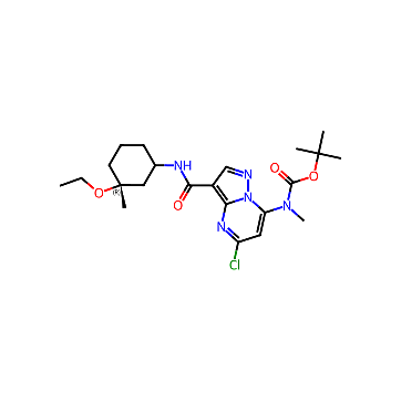 CCO[C@]1(C)CCCC(NC(=O)c2cnn3c(N(C)C(=O)OC(C)(C)C)cc(Cl)nc23)C1